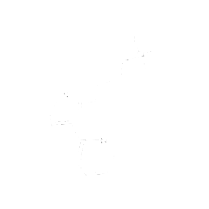 C[Si](C)(C)CCOCn1nccc1-c1ccccn1